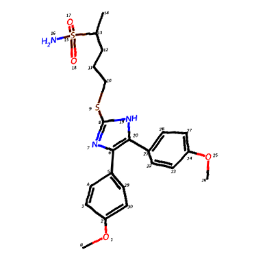 COc1ccc(-c2nc(SCCCC(C)S(N)(=O)=O)[nH]c2-c2ccc(OC)cc2)cc1